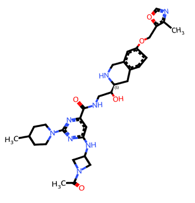 CC(=O)N1CC(Nc2cc(C(=O)NCC(O)[C@@H]3Cc4ccc(OCc5ocnc5C)cc4CN3)nc(N3CCC(C)CC3)n2)C1